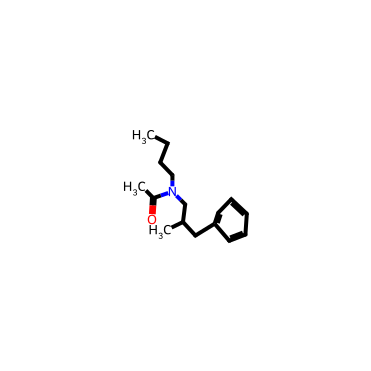 CCCCN(CC(C)Cc1ccccc1)C(C)=O